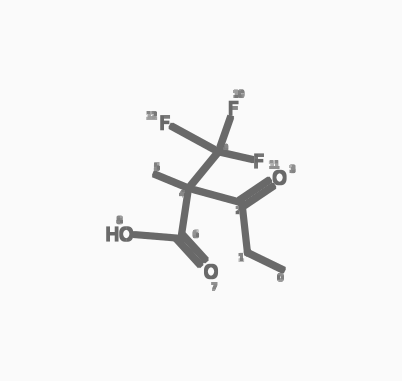 CCC(=O)C(C)(C(=O)O)C(F)(F)F